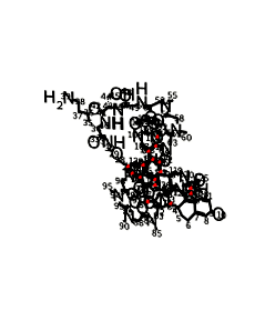 CC1CC2C3CCC4=CC(=O)C=CC4(C)C3C(O)CC2(C)C1OC(=O)c1cc(COCNC(=O)[C@H](CCCCN)NC(=O)[C@H](CO)NC(=O)CNC(=O)CN(C)C(=O)CN(C)C(=O)CN(C)C(=O)CN(C)C(=O)CN(C)C(=O)CN(C)C(=O)CN(C)C(=O)CN(C)C(=O)CN(C)C(=O)CN(C)C(=O)c2cc(-c3cnc(S(C)(=O)=O)nc3)cc(-c3cnc(S(C)(=O)=O)nc3)c2)co1